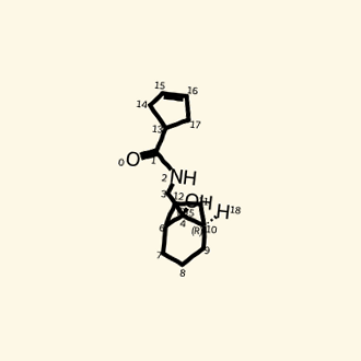 O=C(NC[C@@]1(O)C2CCC[C@@H]1CC2)C1CC=CC1